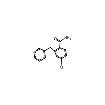 NC(=O)c1ccc(Cl)cc1Cc1ccccc1